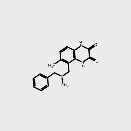 Cc1ccc2[nH]c(=O)c(=O)[nH]c2c1CN(C)Cc1ccccc1